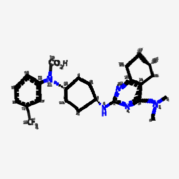 CN(C)c1nc(N[C@H]2CC[C@@H](N(C(=O)O)c3cccc(C(F)(F)F)c3)CC2)nc2c1CCCC2